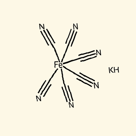 N#[C][Fe]([C]#N)([C]#N)([C]#N)([C]#N)[C]#N.[KH]